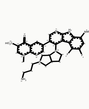 CNc1cc(F)c(F)c2c1[nH]c1ncc(-c3cnc4c(c3)c(=O)c(C(=O)O)cn4C)c(N3CCC4CN(CCCN)CC43)c12